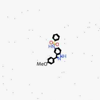 COc1ccc(-c2n[nH]c3ccc(NS(=O)(=O)c4ccccc4)cc23)cc1